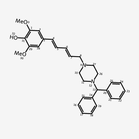 COc1cc(/C=C/C=C/CN2CCN(C(c3ccccc3)c3ccccc3)CC2)cc(OC)c1O